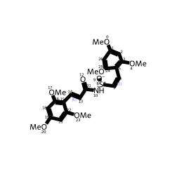 COc1cc(OC)c(/C=C\[S+]([O-])NC(=O)/C=C/c2c(OC)cc(OC)cc2OC)c(OC)c1